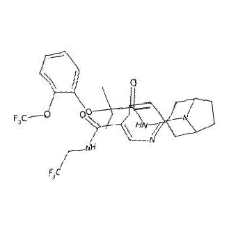 CC(C)(Oc1ccccc1OC(F)(F)F)C(=O)NC1CC2CCC(C1)N2c1ccc(C(=O)NCC(F)(F)F)cn1